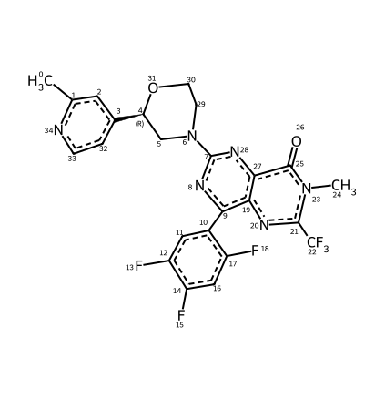 Cc1cc([C@@H]2CN(c3nc(-c4cc(F)c(F)cc4F)c4nc(C(F)(F)F)n(C)c(=O)c4n3)CCO2)ccn1